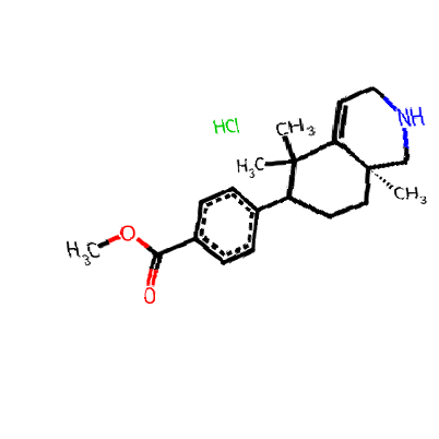 COC(=O)c1ccc(C2CC[C@]3(C)CNCC=C3C2(C)C)cc1.Cl